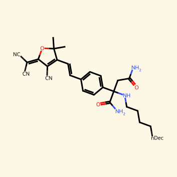 CCCCCCCCCCCCCCNC(CC(N)=O)(C(N)=O)c1ccc(C=CC2=C(C#N)C(=C(C#N)C#N)OC2(C)C)cc1